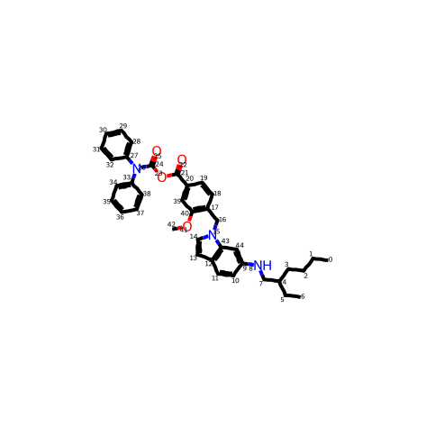 CCCCC(CC)CNc1ccc2ccn(Cc3ccc(C(=O)OC(=O)N(c4ccccc4)c4ccccc4)cc3OC)c2c1